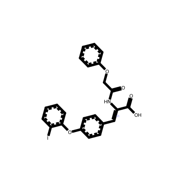 O=C(COc1ccccc1)N/C(=C\c1ccc(Oc2ccccc2I)cc1)C(=O)O